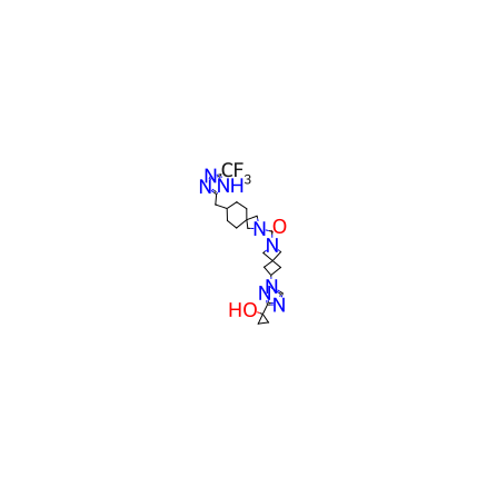 O=C(N1CC2(CCC(Cc3nnc(C(F)(F)F)[nH]3)CC2)C1)N1CC2(CC(n3cnc(C4(O)CC4)n3)C2)C1